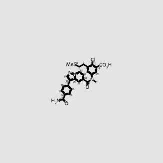 CSCCc1cc(N(C)C(=O)c2ccn3ncc(-c4ccc(C(N)=O)cc4)c3c2)cc(C(=O)O)c1Cl